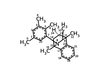 Cc1cc(C)c(C)c(N2[C@@H](C)C3(C)CCC2(C)c2ccccc23)c1